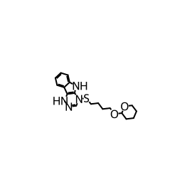 C1=NNc2c([nH]c3ccccc23)N1SCCCCOC1CCCCO1